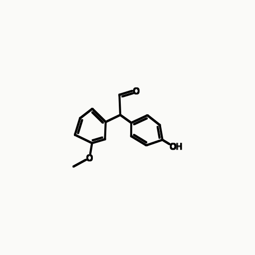 COc1cccc(C(C=O)c2ccc(O)cc2)c1